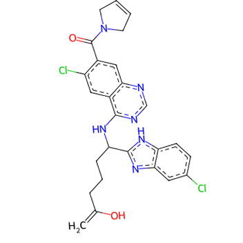 C=C(O)CCCC(Nc1ncnc2cc(C(=O)N3CC=CC3)c(Cl)cc12)c1nc2cc(Cl)ccc2[nH]1